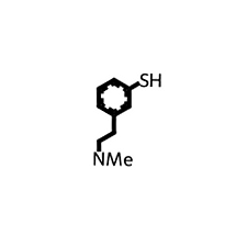 CNCCc1cccc(S)c1